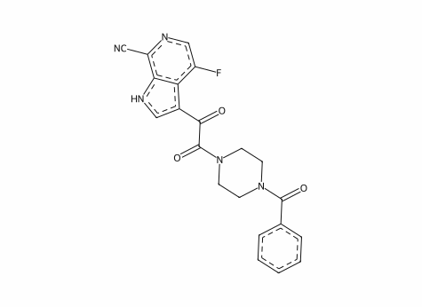 N#Cc1ncc(F)c2c(C(=O)C(=O)N3CCN(C(=O)c4ccccc4)CC3)c[nH]c12